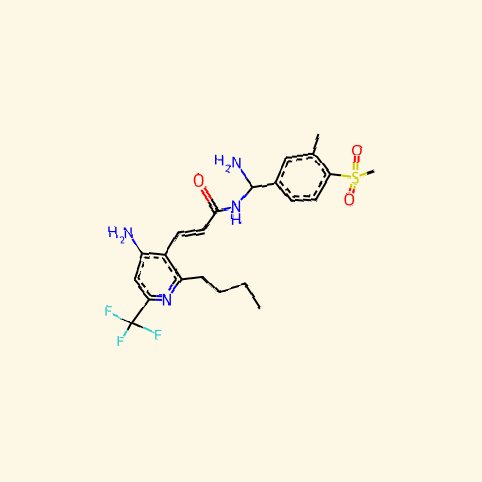 CCCCc1nc(C(F)(F)F)cc(N)c1C=CC(=O)NC(N)c1ccc(S(C)(=O)=O)c(C)c1